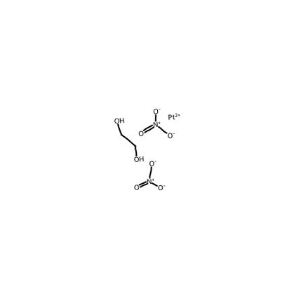 O=[N+]([O-])[O-].O=[N+]([O-])[O-].OCCO.[Pt+2]